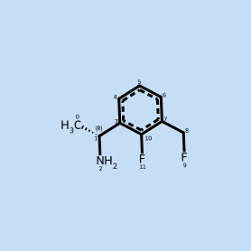 C[C@@H](N)c1cccc(CF)c1F